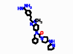 Cn1c(CCc2ccc(C(=N)N)cc2)nc2cc(N(Cc3ccccc3)C(=O)CN3CCC(Nc4ccccn4)CC3)ccc21